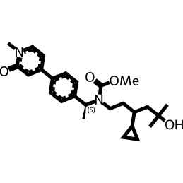 COC(=O)N(CCC(CC(C)(C)O)C1CC1)[C@@H](C)c1ccc(-c2ccn(C)c(=O)c2)cc1